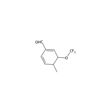 CC1C=CC(C=O)=CC1OC(F)(F)F